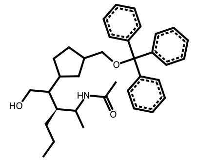 CCC[C@H](C(C)NC(C)=O)C(CO)C1CCC(COC(c2ccccc2)(c2ccccc2)c2ccccc2)C1